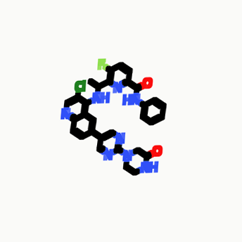 CC(Nc1c(Cl)cnc2ccc(-c3cnc(N4CCNC(=O)C4)nc3)cc12)c1nc(C(=O)Nc2ccccc2)ccc1F